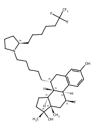 C[C@]12C[C@H](F)[C@@H]3c4ccc(O)cc4C[C@@H](CCCCCN4CCC[C@H]4CCCCCC(F)(F)C(F)(F)F)[C@H]3[C@@H]1CC[C@@]2(C)O